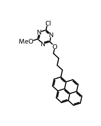 COc1nc(Cl)nc(OCCCCc2ccc3ccc4cccc5ccc2c3c45)n1